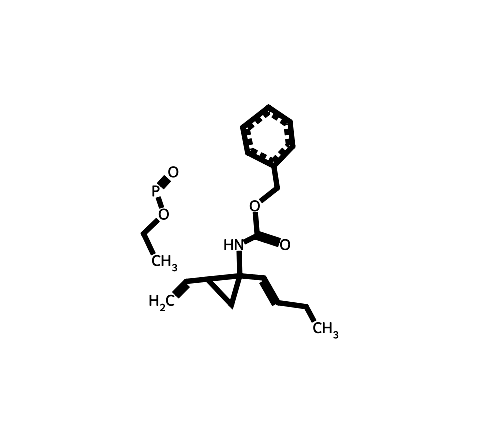 C=CC1CC1(C=CCC)NC(=O)OCc1ccccc1.CCOP=O